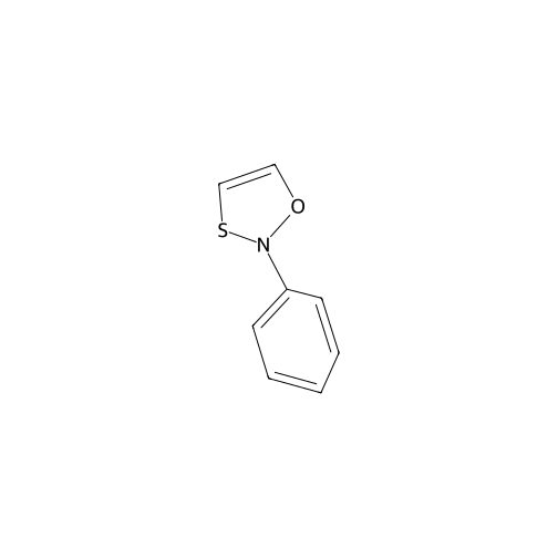 C1=CSN(c2ccccc2)O1